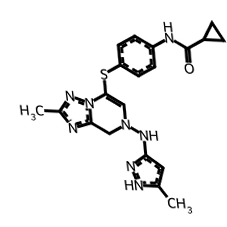 Cc1nc2n(n1)C(Sc1ccc(NC(=O)C3CC3)cc1)=CN(Nc1cc(C)[nH]n1)C2